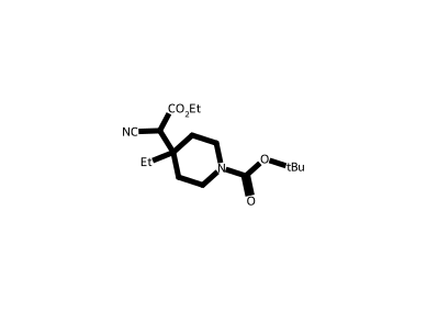 CCOC(=O)C(C#N)C1(CC)CCN(C(=O)OC(C)(C)C)CC1